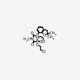 CN(C(=O)Oc1cccc2c1OC(C)(C)C2)C(=O)P(=O)(OCCCl)OCCCl